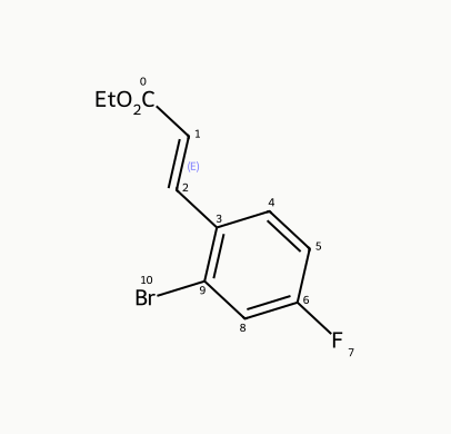 CCOC(=O)/C=C/c1ccc(F)cc1Br